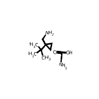 CC(C)(C)C1(CN)CC1.NC(=O)O